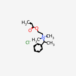 C=CC(=O)OCC[N+](C)(C)C(C)c1ccccc1.[Cl-]